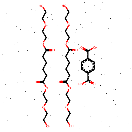 O=C(CCCCC(=O)OCCOCCO)OCCOCCO.O=C(CCCCC(=O)OCCOCCO)OCCOCCO.O=C(O)c1ccc(C(=O)O)cc1